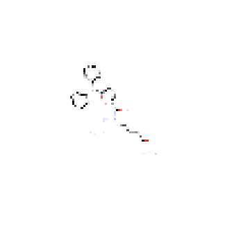 CC(C)(C)OC(=O)CCCC(NC(=O)c1ccc(C(c2ccccc2)c2ccccc2)o1)C(=O)O